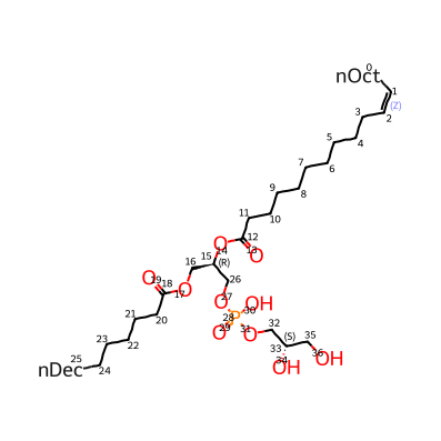 CCCCCCCC/C=C\CCCCCCCCCC(=O)O[C@H](COC(=O)CCCCCCCCCCCCCCC)COP(=O)(O)OC[C@@H](O)CO